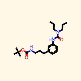 CCCN(CCC)C(=O)Nc1cccc(CCCNC(=O)OC(C)(C)C)c1